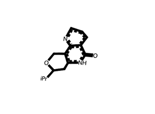 CC(C)C1Cc2[nH]c(=O)c3cccnc3c2CO1